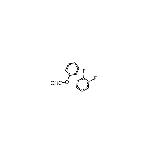 Fc1ccccc1F.O=COc1ccccc1